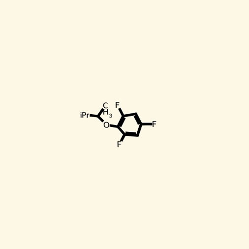 CC(C)C(C)Oc1c(F)cc(F)cc1F